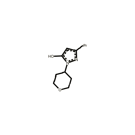 CC(C)c1cc(O)n(C2CCOCC2)n1